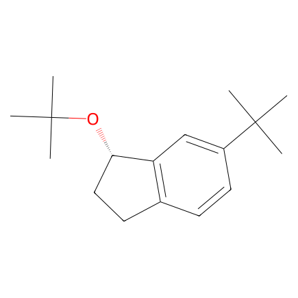 CC(C)(C)O[C@H]1CCc2ccc(C(C)(C)C)cc21